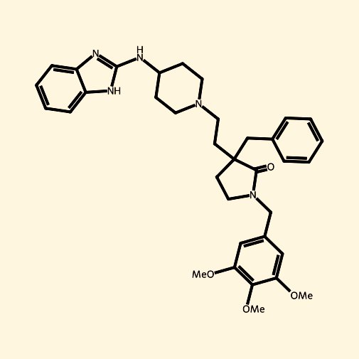 COc1cc(CN2CCC(CCN3CCC(Nc4nc5ccccc5[nH]4)CC3)(Cc3ccccc3)C2=O)cc(OC)c1OC